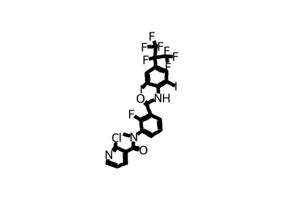 CN(C(=O)c1cccnc1Cl)c1cccc(C(=O)Nc2c(I)cc(C(F)(C(F)(F)F)C(F)(F)F)cc2I)c1F